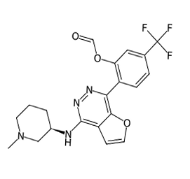 CN1CCC[C@@H](Nc2nnc(-c3ccc(C(F)(F)F)cc3OC=O)c3occc23)C1